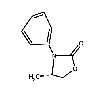 C[C@H]1COC(=O)N1c1ccccc1